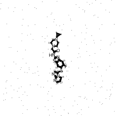 O=C(CN1CCN(C2CC2)CC1)Nc1nc2cc(F)c(Sc3cnc4ncccn34)cc2s1